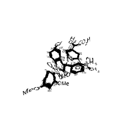 COc1ccc(S(=O)(=O)N2C(=O)[C@@](c3ccccc3OC)(N3C[C@@H](C(C)C(=O)O)C[C@H]3C(=O)N(C)C)c3cc(Cl)ccc32)c(OC)c1